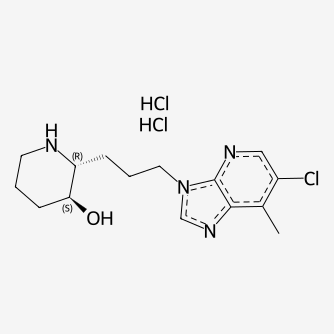 Cc1c(Cl)cnc2c1ncn2CCC[C@H]1NCCC[C@@H]1O.Cl.Cl